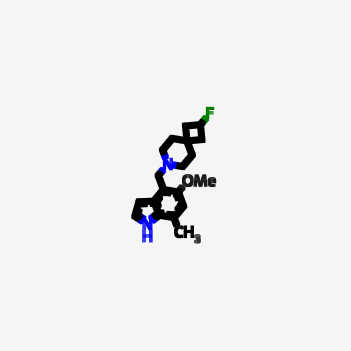 COc1cc(C)c2[nH]ccc2c1CN1CCC2(CC1)CC(F)C2